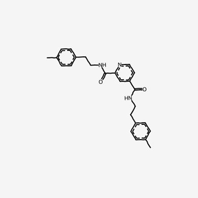 Cc1ccc(CCNC(=O)c2ccnc(C(=O)NCCc3ccc(C)cc3)c2)cc1